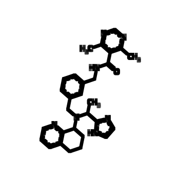 Cc1ncnc(C)c1C(=O)NCc1cccc(CN(C(C)c2ncc[nH]2)C2CCCc3cccnc32)c1